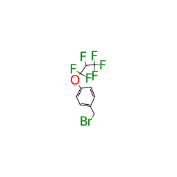 FC(C(F)(F)F)C(F)(F)Oc1ccc(CBr)cc1